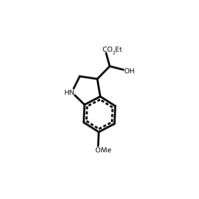 CCOC(=O)C(O)C1CNc2cc(OC)ccc21